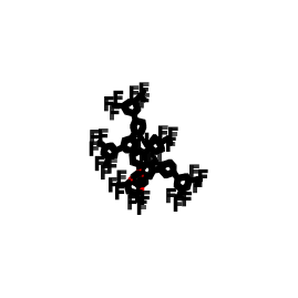 FC(F)(F)c1cc(-c2ccc3c(c2)c2cc(-c4cc(C(F)(F)F)cc(C(F)(F)F)c4)ccc2n3-c2cc(C(F)(F)F)cc(-n3c4ccc(-c5cc(C(F)(F)F)cc(C(F)(F)F)c5)cc4c4cc(-c5cc(C(F)(F)F)cc(C(F)(F)F)c5)ccc43)c2-c2cccc(-c3ccccc3)n2)cc(C(F)(F)F)c1